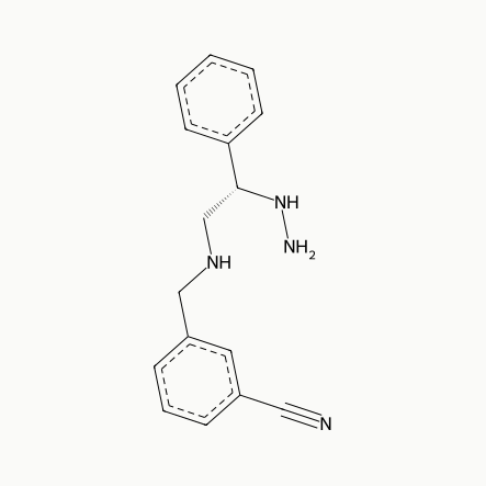 N#Cc1cccc(CNC[C@@H](NN)c2ccccc2)c1